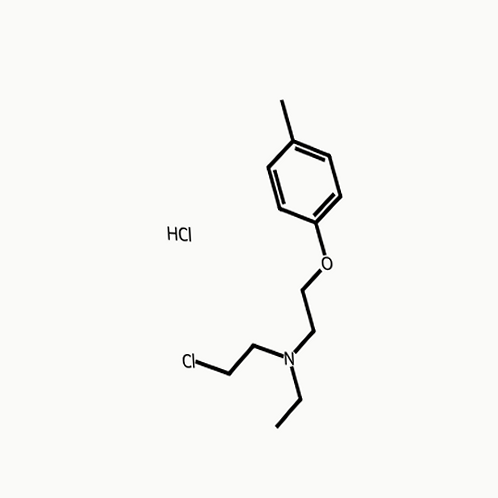 CCN(CCCl)CCOc1ccc(C)cc1.Cl